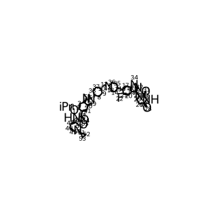 CC(C)Oc1cc2nn([C@H]3CC[C@H](CN4CCC(c5cc6c(cc5F)c(N5CCC(=O)NC5=O)nn6C)CC4)CC3)cc2cc1C(=O)Nc1cccn(C2CC2)c1=O